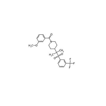 COc1cccc(C(=O)N2CCC(C(C)(C)S(=O)(=O)c3cccc(C(F)(F)F)c3)CC2)c1